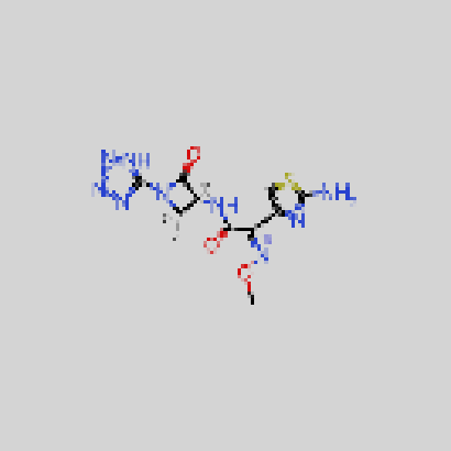 CO/N=C(\C(=O)N[C@@H]1C(=O)N(c2nnn[nH]2)[C@H]1C)c1csc(N)n1